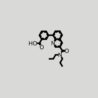 CCCN(CCC)C(=O)c1cnc2c(-c3cccc(C(=O)O)c3)cccc2c1